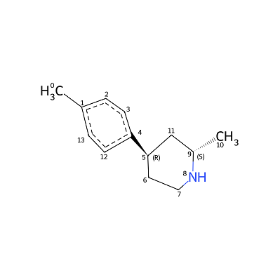 Cc1ccc([C@@H]2CCN[C@@H](C)C2)cc1